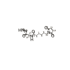 CC(C)(NC(=O)CCCCCN1C(=O)C=CC1=O)C(=O)N=N